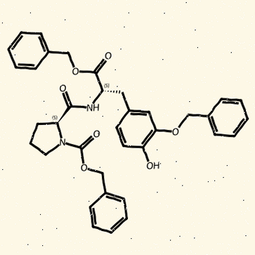 O=C(OCc1ccccc1)[C@H](Cc1ccc(O)c(OCc2ccccc2)c1)NC(=O)[C@@H]1CCCN1C(=O)OCc1ccccc1